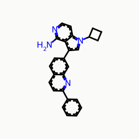 Nc1nccc2c1c(-c1ccc3ccc(-c4ccccc4)nc3c1)cn2C1CCC1